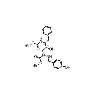 CC(C)(C)OC(=O)N[C@@H](Cc1ccccc1)[C@@H](O)CN(NCc1ccc(O)cc1)C(=O)OC(C)(C)C